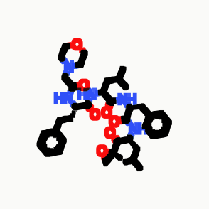 CC(C)CC(NC(=O)[C@H](CCc1ccccc1)NC(=O)CN1CCOCC1)C(=O)N[C@@H](Cc1ccccc1)C(=O)N[C@@H](CC(C)C)C(=O)[C@]1(C)CO1